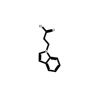 CCC(=O)CCn1ccc2ccccc21